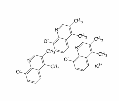 Cc1cnc2c([O-])cccc2c1C.Cc1cnc2c([O-])cccc2c1C.Cc1cnc2c([O-])cccc2c1C.[Al+3]